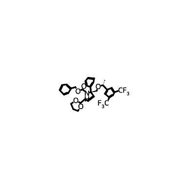 C[C@@H](OC[C@@](/C=C\CC1OCCCO1)(NC(=O)OCc1ccccc1)c1ccccc1)c1cc(C(F)(F)F)cc(C(F)(F)F)c1